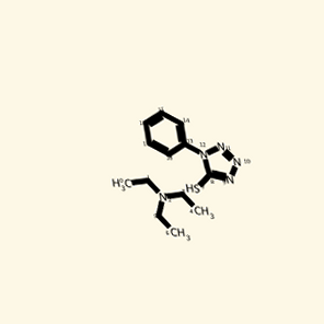 CCN(CC)CC.Sc1nnnn1-c1ccccc1